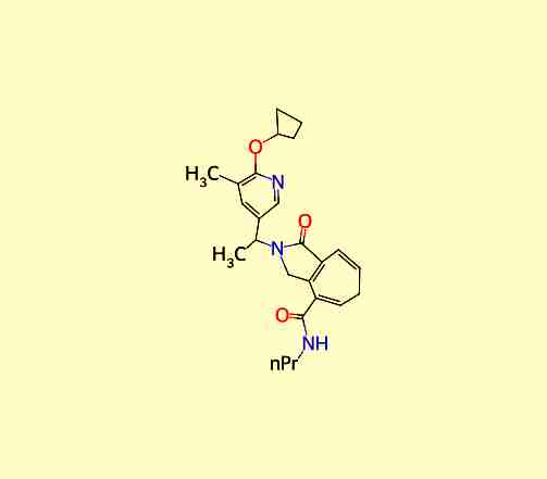 CCCNC(=O)C1=CCC=CC2=C1CN(C(C)c1cnc(OC3CCC3)c(C)c1)C2=O